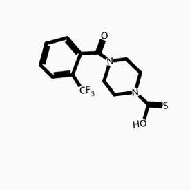 O=C(c1ccccc1C(F)(F)F)N1CCN(C(O)=S)CC1